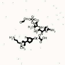 C[n+]1cc(-c2ccc(OC[C@H](O/N=C(\C(=O)N[C@@H]3C(=O)N(OS(=O)(=O)[O-])C3(C)C)c3csc(N)n3)C(=O)O)cc2F)cn1CCCN.O=CO